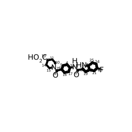 O=C(Nc1ccc(C(=O)N2CCC(C(=O)O)CC2)cc1)c1cc2cc(F)ccc2[nH]1